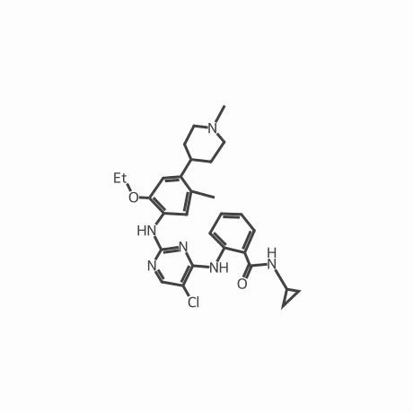 CCOc1cc(C2CCN(C)CC2)c(C)cc1Nc1ncc(Cl)c(Nc2ccccc2C(=O)NC2CC2)n1